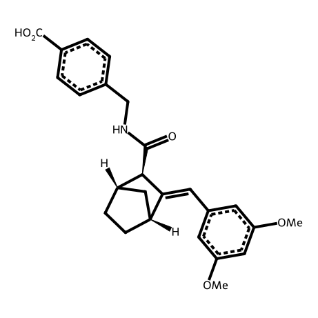 COc1cc(/C=C2\[C@@H]3CC[C@@H](C3)[C@H]2C(=O)NCc2ccc(C(=O)O)cc2)cc(OC)c1